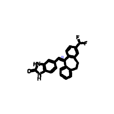 O=c1[nH]c2ccc(/C=C3\c4ccccc4CCc4cc(C(F)F)ccc43)cc2[nH]1